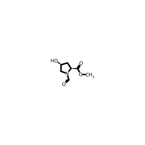 COC(=O)[C@@H]1C[C@H](O)CN1[C]=O